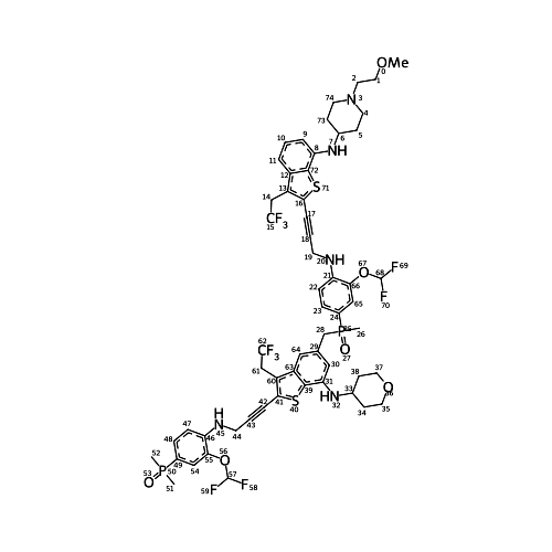 COCCN1CCC(Nc2cccc3c(CC(F)(F)F)c(C#CCNc4ccc(P(C)(=O)Cc5cc(NC6CCOCC6)c6sc(C#CCNc7ccc(P(C)(C)=O)cc7OC(F)F)c(CC(F)(F)F)c6c5)cc4OC(F)F)sc23)CC1